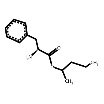 CCCC(C)OC(=O)[C@@H](N)Cc1ccccc1